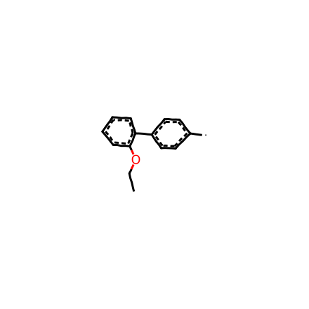 [CH2]c1ccc(-c2ccccc2OCC)cc1